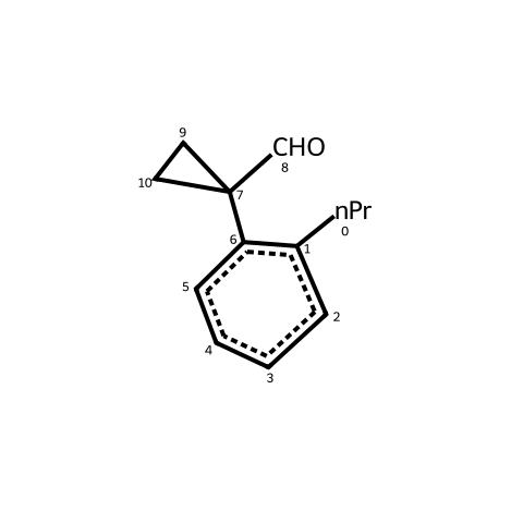 CCCc1ccccc1C1(C=O)CC1